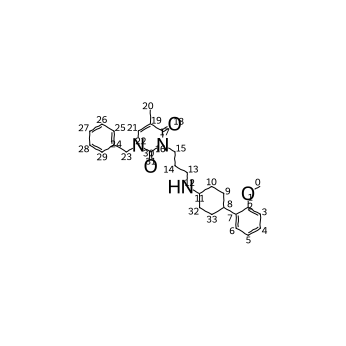 COc1ccccc1C1CCC(NCCCn2c(=O)c(C)cn(Cc3ccccc3)c2=O)CC1